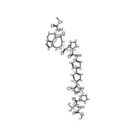 COC(=O)N[C@H]1CCc2ccn3c2C1C(=O)C[C@H](C(=O)N1CCC[C@H]1C(=O)Nc1ccc(-c2ccc(-c4[nH]c([C@@H]5CCCN5C(=O)[C@@H](NC(=O)OC)C(C)C)nc4Cl)cc2)cc1)C3